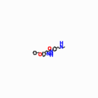 CCNCCc1ccc(NC(=O)c2cc3cc(OCc4ccccc4)ccc3[nH]2)cc1